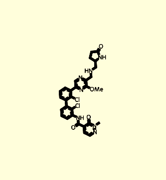 COc1nc(-c2cccc(-c3cccc(NC(=O)c4ccnn(C)c4=O)c3Cl)c2Cl)cnc1CNCC1CCC(=O)N1